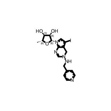 C[C@H]1O[C@@H](n2cc(I)c3c2N=CN(NCc2ccncc2)C3)[C@H](O)[C@@H]1O